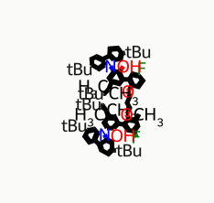 Cc1cc(F)cc(-c2cc(C(C)(C)CC(C)(C)C)cc(-n3c4cc(C(C)(C)C)ccc4c4ccc(C(C)(C)C)cc43)c2O)c1OCCCOc1ccc(F)cc1-c1cc(C(C)(C)CC(C)(C)C)cc(-n2c3c(c4ccc(C(C)(C)C)cc42)=CCC(C(C)(C)C)C=3)c1O